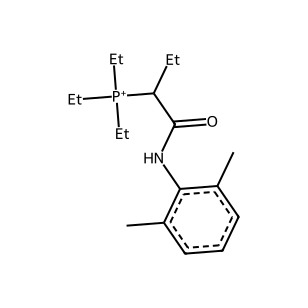 CCC(C(=O)Nc1c(C)cccc1C)[P+](CC)(CC)CC